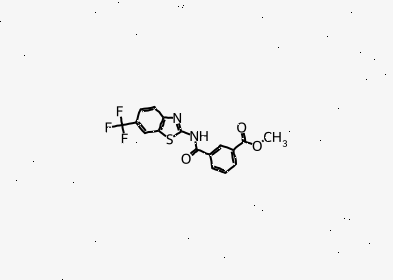 COC(=O)c1cccc(C(=O)Nc2nc3ccc(C(F)(F)F)cc3s2)c1